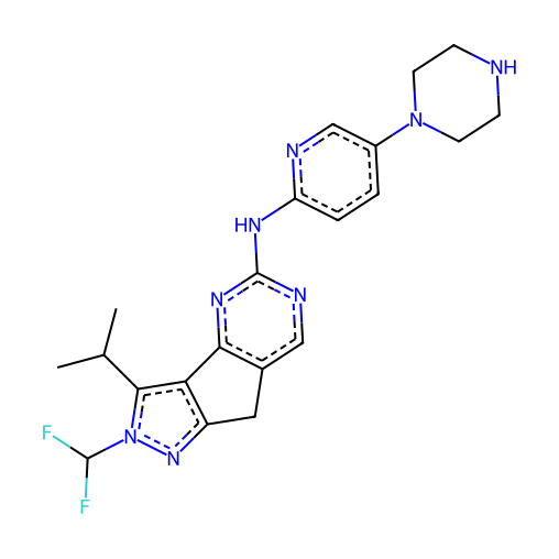 CC(C)c1c2c(nn1C(F)F)Cc1cnc(Nc3ccc(N4CCNCC4)cn3)nc1-2